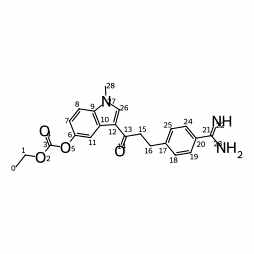 CCOC(=O)Oc1ccc2c(c1)c(C(=O)CCc1ccc(C(=N)N)cc1)cn2C